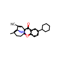 C/C1=C(N)\C(C#N)=C/c2c(oc3ccc(C4CCCCC4)cc3c2=O)CC1